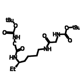 CC[C@H](CCCCNC(=O)CNC(=O)OC(C)(C)C)NC(=O)CNC(=O)OC(C)(C)C